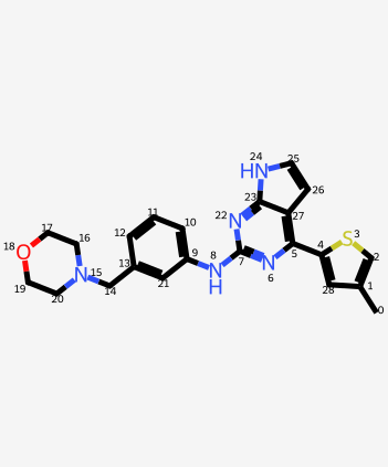 Cc1csc(-c2nc(Nc3cccc(CN4CCOCC4)c3)nc3[nH]ccc23)c1